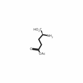 CC(=O)OC(=O)CC[C@H](N)C(=O)O